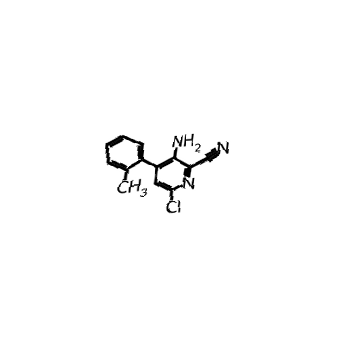 Cc1ccccc1-c1cc(Cl)nc(C#N)c1N